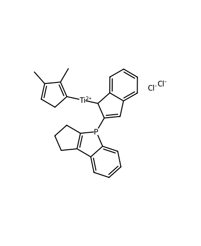 CC1=CC[C]([Ti+2][CH]2C(p3c4c(c5ccccc53)CCC4)=Cc3ccccc32)=C1C.[Cl-].[Cl-]